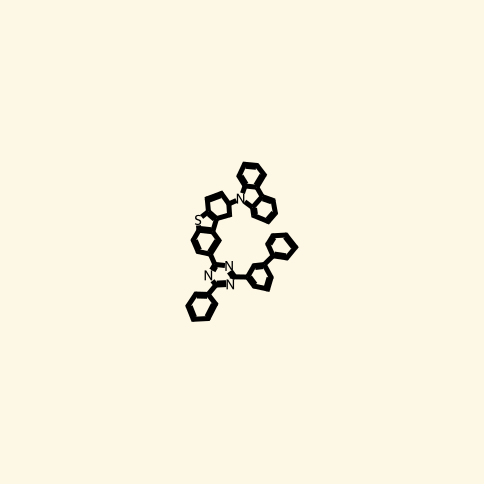 C1=CC(n2c3ccccc3c3ccccc32)Cc2c1sc1ccc(-c3nc(-c4ccccc4)nc(-c4cccc(-c5ccccc5)c4)n3)cc21